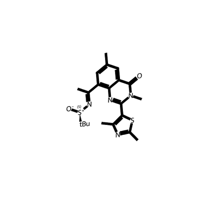 CC(=N[S@+]([O-])C(C)(C)C)c1cc(C)cc2c(=O)n(C)c(-c3sc(C)nc3C)nc12